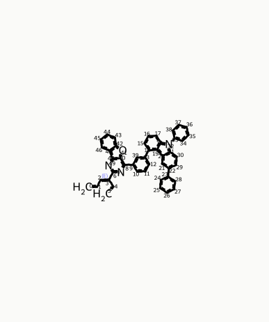 C=C/C=C(\C=C)c1nc(-c2cccc(-c3cccc4c3c3cc(-c5ccccc5)ccc3n4-c3ccccc3)c2)c2oc3ccccc3c2n1